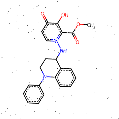 COC(=O)c1c(O)c(=O)ccn1NC1CCN(c2ccccc2)c2ccccc21